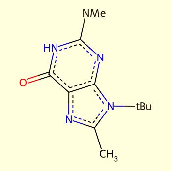 CNc1nc2c(nc(C)n2C(C)(C)C)c(=O)[nH]1